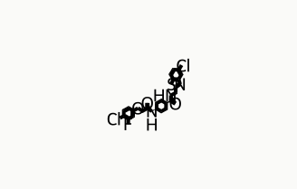 O=C(COc1ccc(Cl)c(F)c1)N[C@H]1CC[C@H](C(=O)NCc2nc3cc(Cl)ccc3s2)CC1